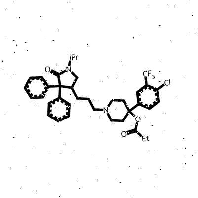 CCC(=O)OC1(c2ccc(Cl)c(C(F)(F)F)c2)CCN(CCCC2CN(C(C)C)C(=O)C2(c2ccccc2)c2ccccc2)CC1